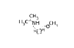 COC[C@@H]1CC[C@@H]1CNC(C)C